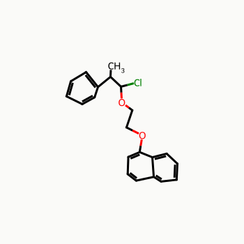 CC(c1ccccc1)C(Cl)OCCOc1cccc2ccccc12